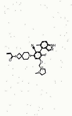 C=CC(=O)N1CC2(CCN(c3cc(OC[C@H]4CCCN4C)c(F)c(-c4c(C)ccc5[nH]ncc45)c3C#N)CC2)C1